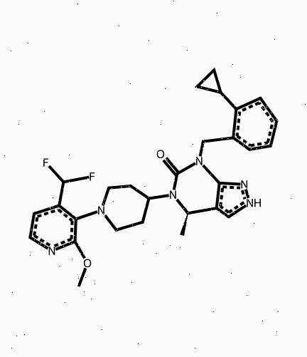 COc1nccc(C(F)F)c1N1CCC(N2C(=O)N(Cc3ccccc3C3CC3)c3n[nH]cc3[C@H]2C)CC1